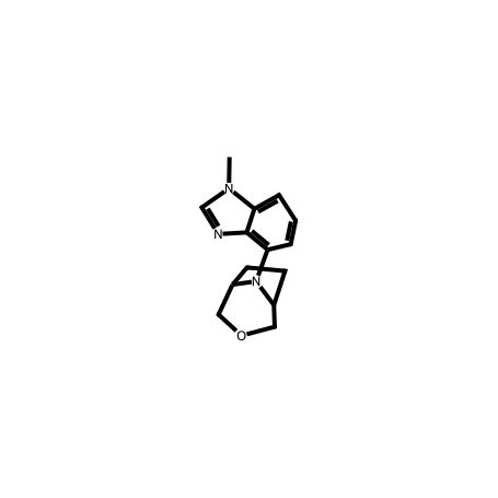 Cn1cnc2c(N3C4CCC3COC4)cccc21